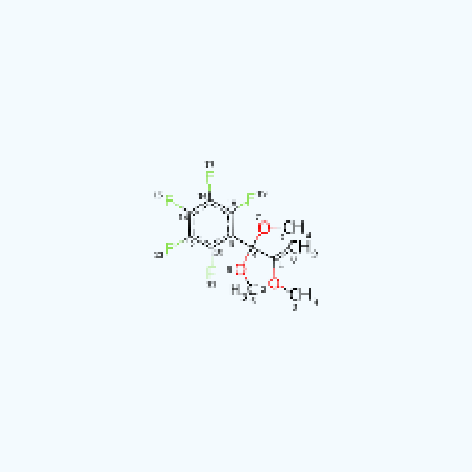 C=C(OC)C(OC)(OC)c1c(F)c(F)c(F)c(F)c1F